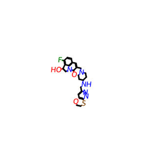 O=c1c(CN2CCC(NCc3cc4c(nn3)SCCO4)CC2)cc2ccc(F)c3c2n1CC3O